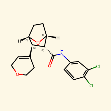 O=C(Nc1ccc(Cl)c(Cl)c1)[C@@H]1[C@@H](C2=CCOCC2)[C@@H]2CC[C@H]1O2